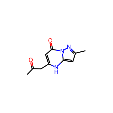 CC(=O)Cc1cc(=O)n2nc(C)cc2[nH]1